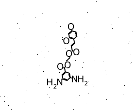 COc1ccc(/C=C/C(=O)OCCOC(=O)c2cc(N)cc(N)c2)c(OC)c1